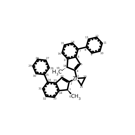 C[C@@H]1[C]([Zr]2([C]3=Cc4c(-c5ccccc5)cccc4[C@H]3C)[CH2][CH2]2)=Cc2c(-c3ccccc3)cccc21